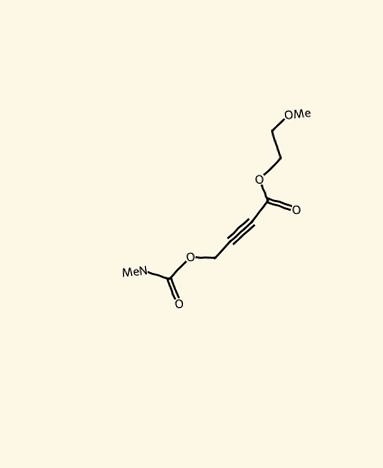 CNC(=O)OCC#CC(=O)OCCOC